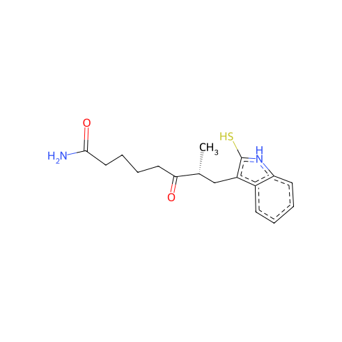 C[C@H](Cc1c(S)[nH]c2ccccc12)C(=O)CCCCC(N)=O